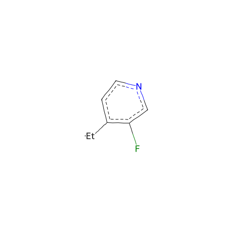 C[CH]c1ccncc1F